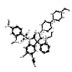 CCOc1ccccc1C1(C(=O)NN2CCC(N3CCN(CC)CC3)CC2)C(=O)N(S(=O)(=O)c2ccc(OC)cc2OC)c2cc(F)c(C#N)cc21